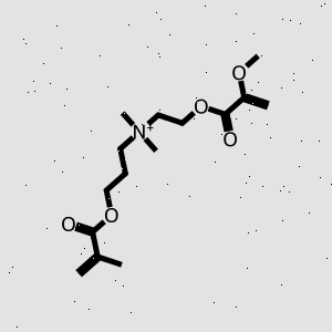 C=C(C)C(=O)OCCC[N+](C)(C)CCOC(=O)C(=C)OC